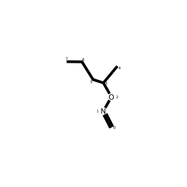 C=NOC(C)CCC